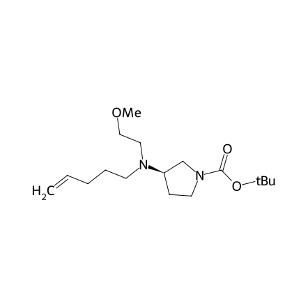 C=CCCCN(CCOC)[C@@H]1CCN(C(=O)OC(C)(C)C)C1